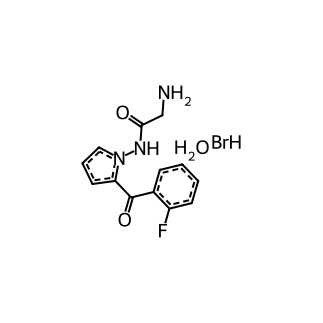 Br.NCC(=O)Nn1cccc1C(=O)c1ccccc1F.O